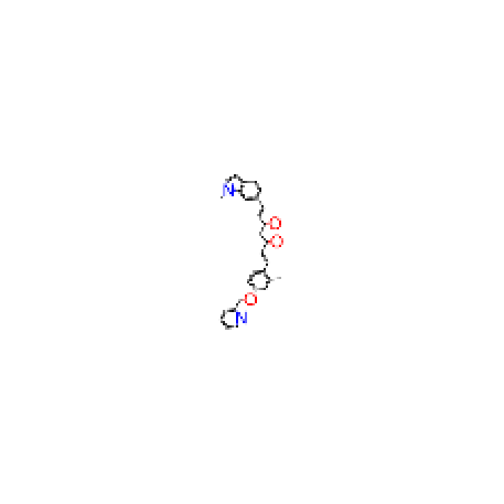 Cc1cc(OCc2ccccn2)ccc1C=CC(=O)CC(=O)C=Cc1ccc2ccn(C)c2c1